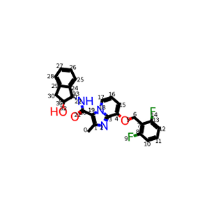 Cc1nc2c(OCc3c(F)cccc3F)cccn2c1C(=O)N[C@H]1c2ccccc2C[C@@H]1O